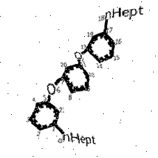 CCCCCCCc1cccc(Oc2cccc(Oc3cccc(CCCCCCC)c3)c2)c1